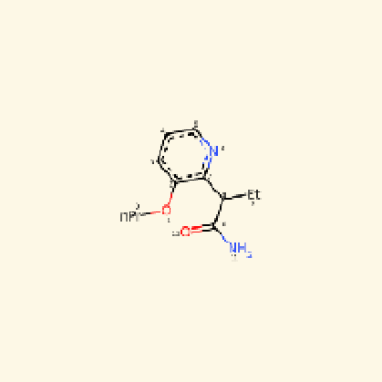 CCCOc1cccnc1C(CC)C(N)=O